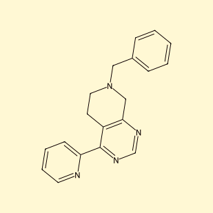 c1ccc(CN2CCc3c(ncnc3-c3ccccn3)C2)cc1